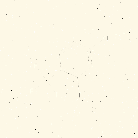 FC(F)(F)c1ccc(Cl)cc1I